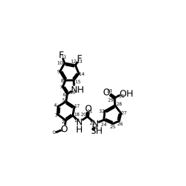 COc1ccc(-c2cc3cc(F)c(F)cc3[nH]2)cc1NC(=O)N(S)c1cccc(C(=O)O)c1